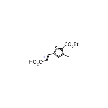 CCOC(=O)c1sc(/C=C/C(=O)O)cc1C